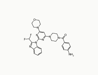 Nc1ccc(C(=O)N2CCN(c3cc(N4CCOCC4)nc(-n4c(C(F)F)nc5ccccc54)n3)CC2)cc1